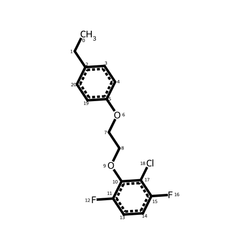 CCc1ccc(OCCOc2c(F)ccc(F)c2Cl)cc1